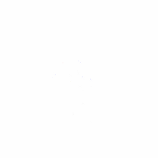 Cc1nn2c(N3CCOCC3)c(C(N)=O)sc2c1-c1cc(F)cc(F)c1F